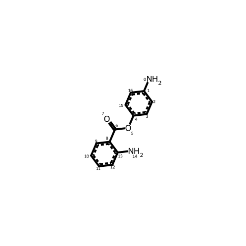 Nc1ccc(OC(=O)c2ccccc2N)cc1